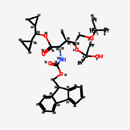 CC(C)[SiH](OC[C@H](O[Si](O)(C(C)C)C(C)C)[C@H](C)[C@H](NC(=O)OCC1c2ccccc2-c2ccccc21)C(=O)OC(C1CC1)C1CC1)C(C)C